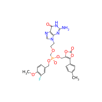 COc1ccc(COP(=O)(COCCn2cnc3c(=O)[nH]c(N)nc32)OCc2oc(=O)oc2-c2ccc(C)cc2)cc1F